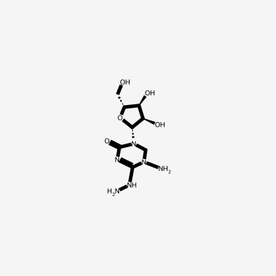 NNC1=NC(=O)N([C@@H]2O[C@H](CO)[C@@H](O)[C@H]2O)CN1N